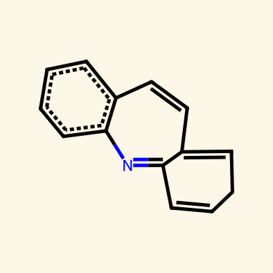 C1=CC2=Nc3ccccc3C=CC2=CC1